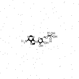 Nc1ncnc2c1ncn2[C@@H]1O[C@H](CO[SH]=P(O)(O)O)[C@@H](O)[C@H]1O